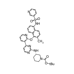 Cc1ccc2c(NS(=O)(=O)c3cccnc3)cccc2c1Oc1ncccc1-c1ccnc(N[C@H]2CCCN(C(=O)OC(C)(C)C)C2)n1